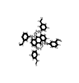 CCc1cccc(Nc2ccc(Nc3cccc(CC)c3)c3c2C(=O)c2c(Nc4cccc(CC)c4)ccc(Nc4cccc(CC)c4)c2C3=O)c1